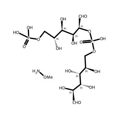 CON.O=C[C@@H](O)[C@@H](O)[C@H](O)[C@H](O)COP(=O)(O)O[C@H](C=O)[C@@H](O)[C@H](O)[C@H](O)COP(=O)(O)O